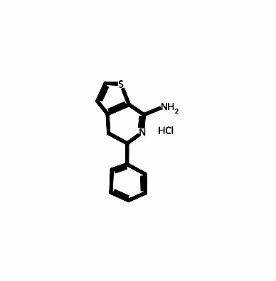 Cl.NC1=NC(c2ccccc2)Cc2ccsc21